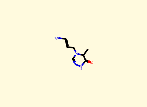 CC1C(=O)NN=CN1C/C=C/N